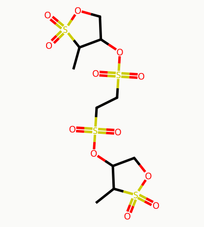 CC1C(OS(=O)(=O)CCS(=O)(=O)OC2COS(=O)(=O)C2C)COS1(=O)=O